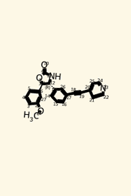 COc1cccc([C@H]2OC(=O)N[C@@H]2c2cccc(C#Cc3ccncc3)c2)c1